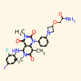 Cc1c(=O)n(C)c(Nc2ccc(I)cc2F)c2c(=O)n(C)c(=O)n(-c3cccc(N4CC(OCC(N)=O)C4)c3)c12